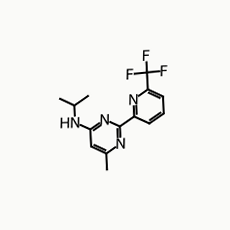 Cc1cc(NC(C)C)nc(-c2cccc(C(F)(F)F)n2)n1